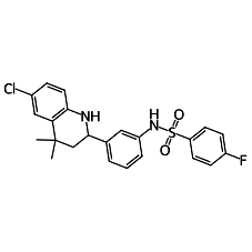 CC1(C)CC(c2cccc(NS(=O)(=O)c3ccc(F)cc3)c2)Nc2ccc(Cl)cc21